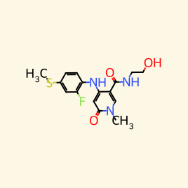 CSc1ccc(Nc2cc(=O)n(C)cc2C(=O)NCCO)c(F)c1